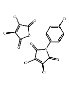 O=C1C(Cl)=C(Cl)C(=O)N1c1ccc(Cl)cc1.O=C1OC(=O)C(Cl)=C1Cl